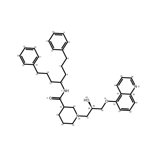 O=C(NC(CCCc1ccccc1)CCCc1ccccc1)C1CCCN(C[C@@H](O)COc2cccc3ncccc23)C1